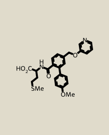 COc1ccc(-c2cc(COc3cccnc3)ccc2C(=O)NC(CCSC)C(=O)O)cc1